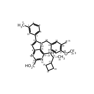 Cc1cccc(-c2cc3nc(C(=O)O)nc(N[C@H](C)C4CCC4)c3n2Cc2ccc(OC(F)(F)F)c(F)c2)c1